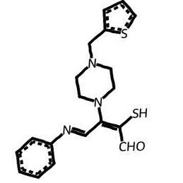 O=C/C(S)=C(\C=Nc1ccccc1)N1CCN(Cc2cccs2)CC1